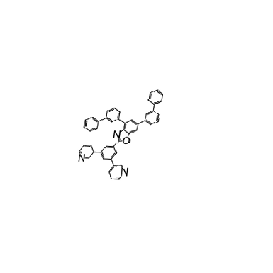 C1=CC(c2cc(C3=CCCN=C3)cc(-c3nc4c(-c5cccc(-c6ccccc6)c5)cc(-c5cccc(-c6ccccc6)c5)cc4o3)c2)CN=C1